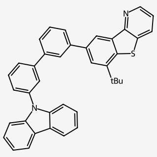 CC(C)(C)c1cc(-c2cccc(-c3cccc(-n4c5ccccc5c5ccccc54)c3)c2)cc2c1sc1cccnc12